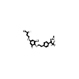 CON=C(c1ccc(CCOc2c(Cl)cc(OCC=C(Cl)Cl)cc2Cl)cc1)C(F)(F)F